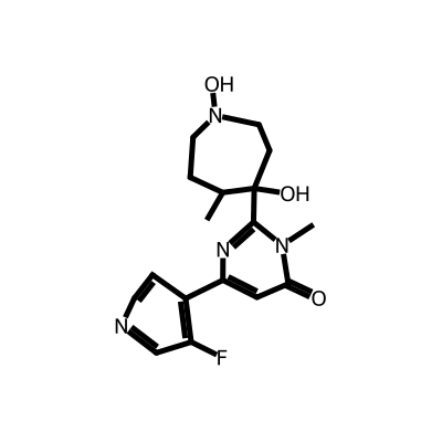 CC1CCN(O)CCC1(O)c1nc(-c2ccncc2F)cc(=O)n1C